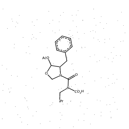 CC(=O)OC1OCN(C(=O)N(CC(C)C)C(=O)O)C1Cc1ccccc1